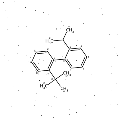 CC(C)c1ccccc1-c1ccc[c]c1C(C)(C)C